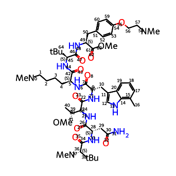 CNCCCC[C@H](NC(=O)[C@H](Cc1c[nH]c2c(C)cccc12)NC(=O)[C@@H](NC(=O)[C@H](CC(N)=O)NC(=O)[C@@H](NC)C(C)(C)C)[C@@H](C)OC)C(=O)N[C@H](C(=O)N[C@@H](Cc1ccc(OCCNC)cc1)C(=O)OC)C(C)(C)C